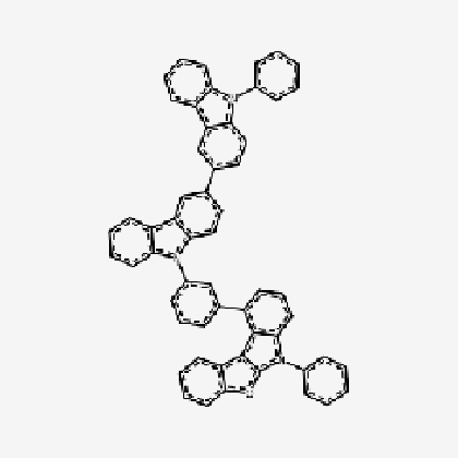 c1ccc(-n2c3ccccc3c3cc(-c4ccc5c(c4)c4ccccc4n5-c4cccc(-c5cccc6c5c5c7ccccc7oc5n6-c5ccccc5)c4)ccc32)cc1